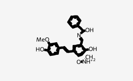 C=[NH+][O-].COc1cc(C=Cc2ccc(O)c(C=NC(O)c3ccccc3)c2)ccc1O